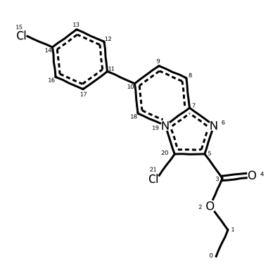 CCOC(=O)c1nc2ccc(-c3ccc(Cl)cc3)cn2c1Cl